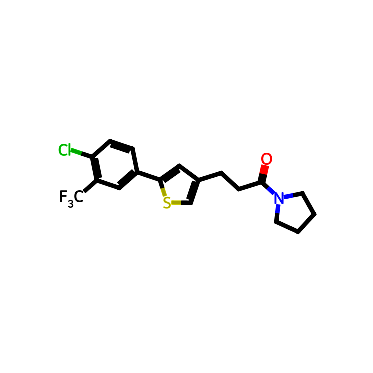 O=C(CCc1csc(-c2ccc(Cl)c(C(F)(F)F)c2)c1)N1CCCC1